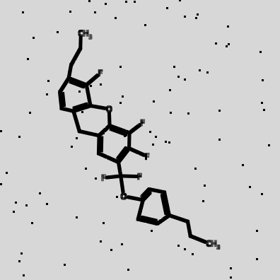 CCCc1ccc(OC(F)(F)c2cc3c(c(F)c2F)Oc2c(ccc(CCC)c2F)C3)cc1